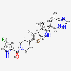 Cc1c(C2CCN(C(=O)C34CC(F)(CN3)C4)CC2)sc2[nH]c(-c3cc(C)c4ncnn4c3)c(C(C)C)c12